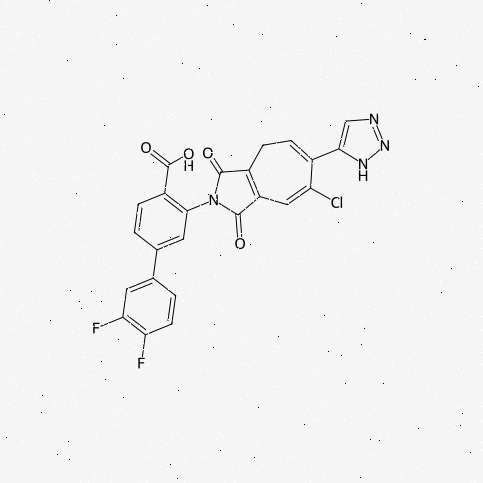 O=C(O)c1ccc(-c2ccc(F)c(F)c2)cc1N1C(=O)C2=C(CC=C(c3cnn[nH]3)C(Cl)=C2)C1=O